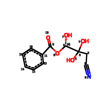 N#CCC(O)(O)[C@@H](O)OC(=O)c1ccccc1